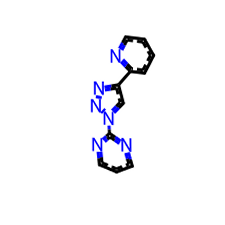 c1ccc(-c2cn(-c3ncccn3)nn2)nc1